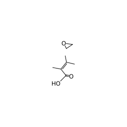 C1CO1.CC(C)=C(C)C(=O)O